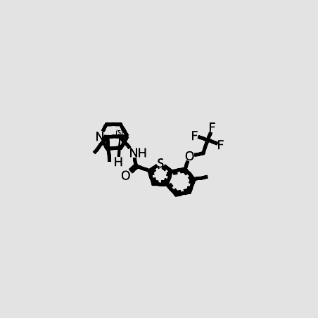 Cc1ccc2cc(C(=O)N[C@H]3C4CCN(CC4)C3(C)C)sc2c1OCC(F)(F)F